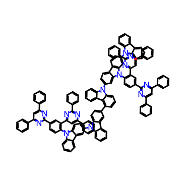 c1ccc(-c2cc(-c3ccccc3)nc(-c3ccc(-n4c5ccccc5c5cc(-n6c7ccccc7c7cc(-c8cccc9c8c8ccccc8n9-c8ccc9c%10ccc(-n%11c%12ccccc%12c%12ccccc%12%11)cc%10n(-c%10ccc(-c%11nc(-c%12ccccc%12)cc(-c%12ccccc%12)n%11)cc%10-c%10cc(-c%11ccccc%11)nc(-c%11ccccc%11)n%10)c9c8)ccc76)ccc54)c(-c4cc(-c5ccccc5)nc(-c5ccccc5)n4)c3)n2)cc1